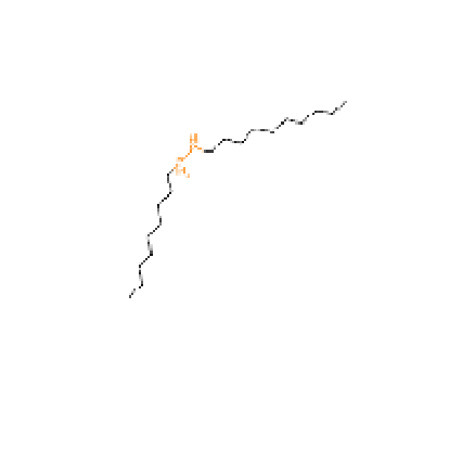 CCCCCCCCCCP[PH3]CCCCCCCCC